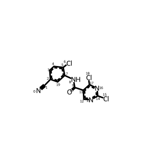 N#Cc1ccc(Cl)c(NC(=O)c2cnc(Cl)nc2Cl)c1